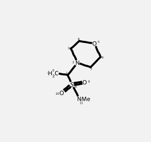 [CH2]C(N1CCOCC1)S(=O)(=O)NC